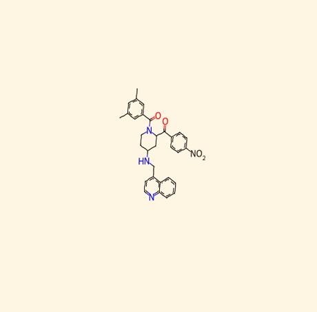 Cc1cc(C)cc(C(=O)N2CCC(NCc3ccnc4ccccc34)CC2C(=O)c2ccc([N+](=O)[O-])cc2)c1